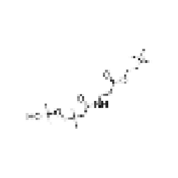 CC(C)(COC(C)(C)O)CC(=O)N/C=C/C(=O)OCC[Si](C)(C)C